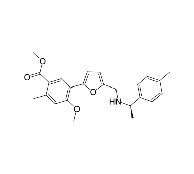 COC(=O)c1cc(-c2ccc(CN[C@H](C)c3ccc(C)cc3)o2)c(OC)cc1C